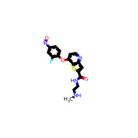 CNCCNC(=O)c1cc2nccc(Oc3ccc(N=O)cc3F)c2s1